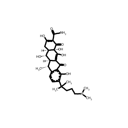 C[C@H]1c2ccc(C(C)(C)CCCN(C)C)c(O)c2C(=O)C2=C(O)[C@]3(O)C(=O)C(C(N)=O)=C(O)C[C@@H]3[C@@H](O)[C@@H]21